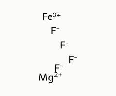 [F-].[F-].[F-].[F-].[Fe+2].[Mg+2]